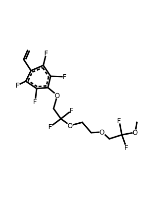 C=Cc1c(F)c(F)c(OCC(F)(F)OCCOCC(F)(F)OC)c(F)c1F